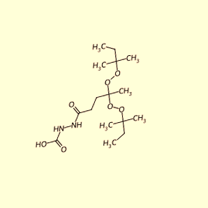 CCC(C)(C)OOC(C)(CCC(=O)NNC(=O)O)OOC(C)(C)CC